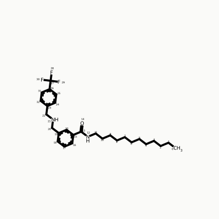 CCCCCCCCCCCCNC(=O)c1cccc(CNCc2ccc(C(F)(F)F)cc2)c1